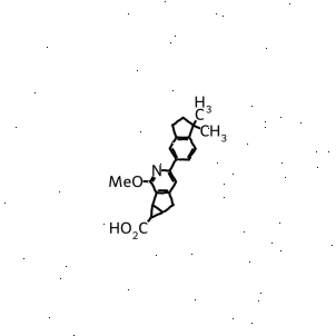 COc1nc(-c2ccc3c(c2)CCC3(C)C)cc2c1C1C(C2)C1C(=O)O